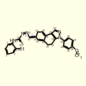 CCc1ccccc1NC(=S)/N=N\C=C1\C=C2CCc3c(cnn3-c3ccc(OC(F)(F)F)cc3)C2=CC1